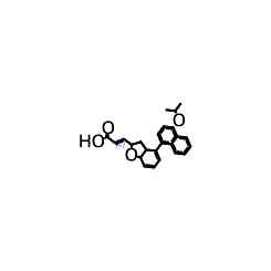 CC(C)Oc1ccc(C2=CC=CC3OC(/C=C/C(=O)O)CC23)c2ccccc12